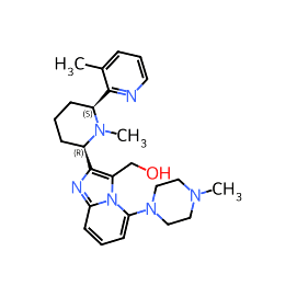 Cc1cccnc1[C@@H]1CCC[C@H](c2nc3cccc(N4CCN(C)CC4)n3c2CO)N1C